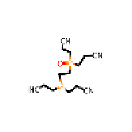 N#CCCP(CCC#N)CCP(=O)(CCC#N)CCC#N